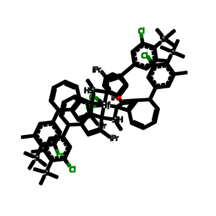 Cc1cc(C2C=CC=CC3=C2C=C(C(C)C)[C]32[SiH](C)[C]3(C(C(C)C)=CC4=C3C=CC=CC4c3cc(C)c([Si](C)(C)C)c(Cl)c3)[Hf]23([Cl])([Cl])[C]2(C(C(C)C)=CC4=C2C=CC=CC4c2cc(C)c([Si](C)(C)C)c(Cl)c2)[SiH](C)[C]32C(C(C)C)=CC3=C2C=CC=CC3c2cc(C)c([Si](C)(C)C)c(Cl)c2)cc(Cl)c1[Si](C)(C)C